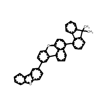 CC1(C)c2ccccc2-c2c(-c3ccc4c5c(cccc35)-c3cc(-c5ccc6oc7ccccc7c6c5)ccc3O4)cccc21